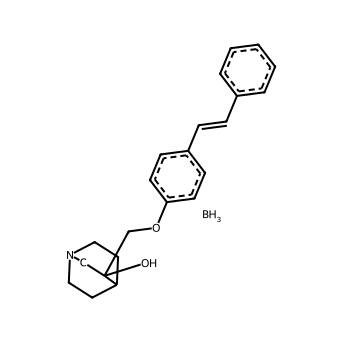 B.OC1(COc2ccc(C=Cc3ccccc3)cc2)CN2CCC1CC2